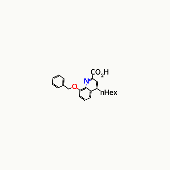 CCCCCCc1cc(C(=O)O)nc2c(OCc3ccccc3)cccc12